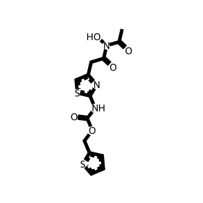 CC(=O)N(O)C(=O)Cc1csc(NC(=O)OCc2cccs2)n1